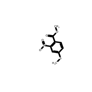 COC(=O)c1ccc(SC)cc1[N+](=O)[O-]